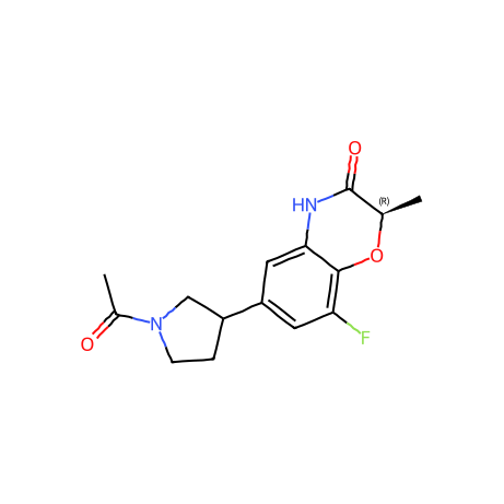 CC(=O)N1CCC(c2cc(F)c3c(c2)NC(=O)[C@@H](C)O3)C1